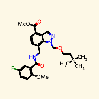 COC(=O)c1ccc(CNC(=O)c2cc(F)ccc2OC)c2c1cnn2COCC[Si](C)(C)C